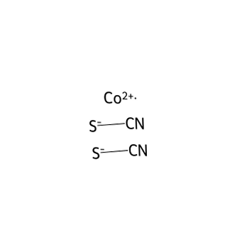 N#C[S-].N#C[S-].[Co+2]